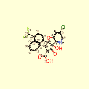 O=C(O)[C@H]1C(=O)[C@@]2(O)c3ncc(Cl)cc3O[C@@]2(c2ccc(C(F)F)cc2)[C@@H]1c1ccccc1